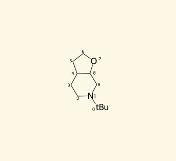 CC(C)(C)N1CCC2CCOC2C1